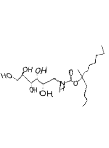 CCCCCCC(C)(CCCC)OC(=O)NC[C@H](O)[C@@H](O)[C@H](O)[C@H](O)CO